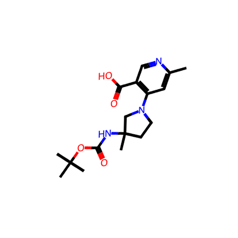 Cc1cc(N2CCC(C)(NC(=O)OC(C)(C)C)C2)c(C(=O)O)cn1